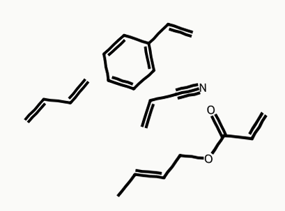 C=CC#N.C=CC(=O)OCC=CC.C=CC=C.C=Cc1ccccc1